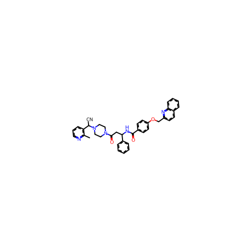 Cc1ncccc1C(C#N)N1CCN(C(=O)CC(NC(=O)c2ccc(OCc3ccc4ccccc4n3)cc2)c2ccccc2)CC1